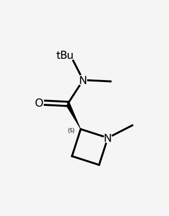 CN1CC[C@H]1C(=O)N(C)C(C)(C)C